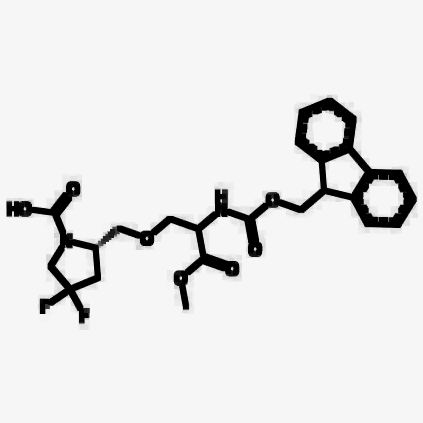 COC(=O)C(COC[C@@H]1CC(F)(F)CN1C(=O)O)NC(=O)OCC1c2ccccc2-c2ccccc21